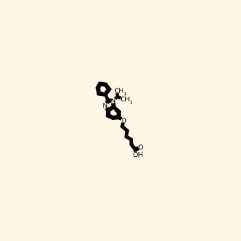 CC(C)n1c(-c2ccccc2)nc2ccc(OCCCCCC(=O)O)cc21